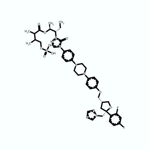 CC[C@@H]([C@H](C)OC(=O)C(C)C(C)COP(=O)(O)O)n1ncn(-c2ccc(N3CCN(c4ccc(OC[C@@H]5CO[C@@](Cn6cncn6)(c6ccc(F)cc6F)C5)cc4)CC3)cc2)c1=O